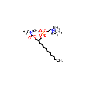 CCCCCCCCCCC(COC(=O)N(C)C)COP(=O)([O-])OCC[N+](C)(C)C